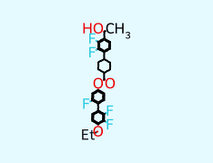 CCOc1ccc(-c2ccc(OC(=O)C3CCC(c4ccc(C(C)O)c(F)c4F)CC3)cc2F)c(F)c1F